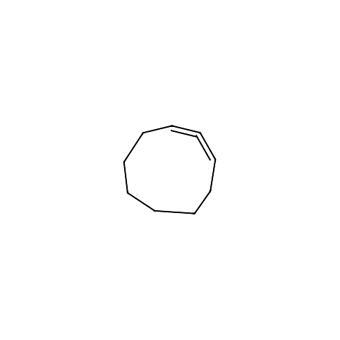 C1=CCCCCCCC=1